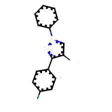 O=Cc1cn(-c2ccccc2)nc1-c1ccc(Br)cc1